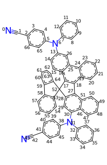 N#Cc1ccc(N(c2ccccc2)c2ccc3c4c(c5ccccc5c3c2)-c2c(cc(N(c3ccccc3)c3ccc(C#N)cc3)c3ccccc23)C42c3ccccc3-c3ccccc32)cc1